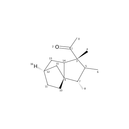 CC(=O)[C@]1(C)C(C)[C@H](C)[C@@]23CC[C@@H](CC12)C3